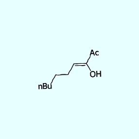 CCCCCCC=C(O)C(C)=O